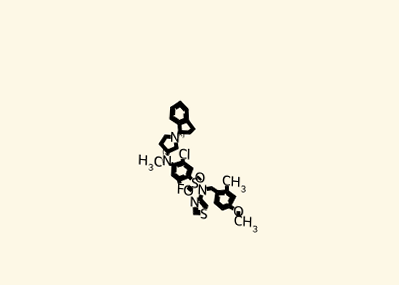 COc1ccc(CN(c2cscn2)S(=O)(=O)c2cc(Cl)c(N(C)[C@H]3CCN([C@@H]4CCc5ccccc54)C3)cc2F)c(C)c1